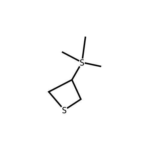 CS(C)(C)C1CSC1